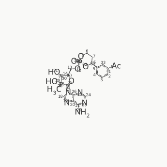 CC(=O)c1cccc([C@@H]2CCO[P@](=O)(OC[C@H]3O[C@@H](n4cnc5c(N)ncnc54)[C@](C)(O)[C@@H]3O)O2)c1